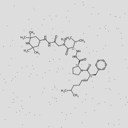 CC(C)CC/C=C/[C@H](Cc1ccccc1)C(=O)N1CCC[C@H]1C(=O)NN[C@H](C(=O)N(N)CC(=O)NNC1CC(C)(C)NC(C)(C)C1)C(C)C